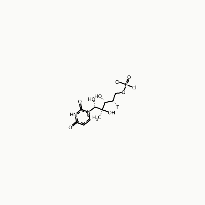 C[C@@](O)([C@H](O)[C@@H](F)COP(=O)(Cl)Cl)[C@@H](O)n1ccc(=O)[nH]c1=O